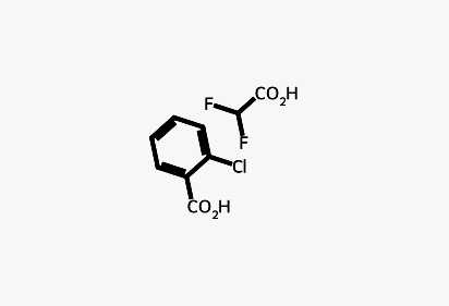 O=C(O)C(F)F.O=C(O)c1ccccc1Cl